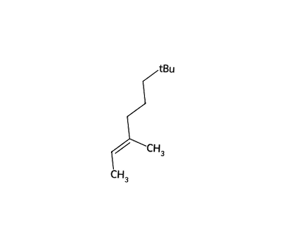 C/C=C(\C)CCCC(C)(C)C